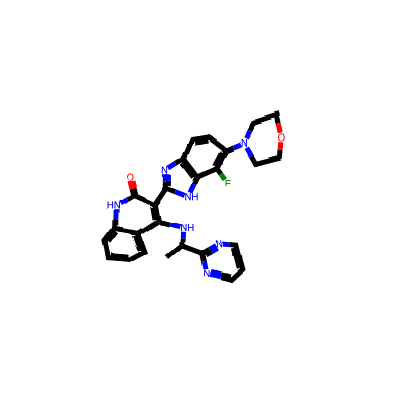 CC(Nc1c(-c2nc3ccc(N4CCOCC4)c(F)c3[nH]2)c(=O)[nH]c2ccccc12)c1ncccn1